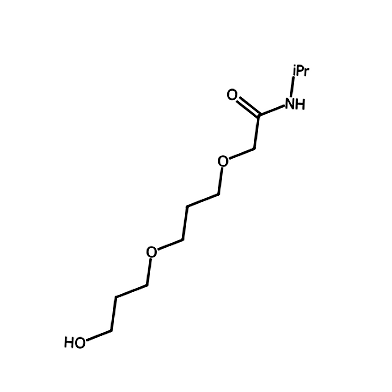 CC(C)NC(=O)COCCCOCCCO